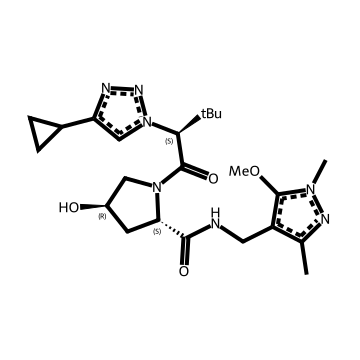 COc1c(CNC(=O)[C@@H]2C[C@@H](O)CN2C(=O)[C@@H](n2cc(C3CC3)nn2)C(C)(C)C)c(C)nn1C